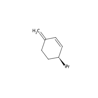 C=C1C=C[C@@H](C(C)C)CC1